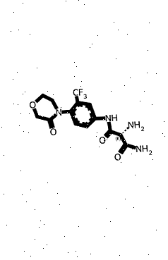 NC(=O)[C@@H](N)C(=O)Nc1ccc(N2CCOCC2=O)c(C(F)(F)F)c1